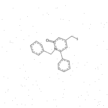 O=c1cc(CI)cc(-c2ccccc2)n1Cc1ccccc1